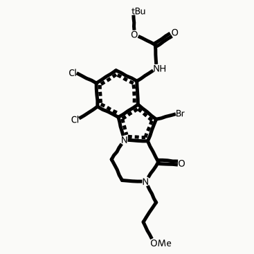 COCCN1CCn2c(c(Br)c3c(NC(=O)OC(C)(C)C)cc(Cl)c(Cl)c32)C1=O